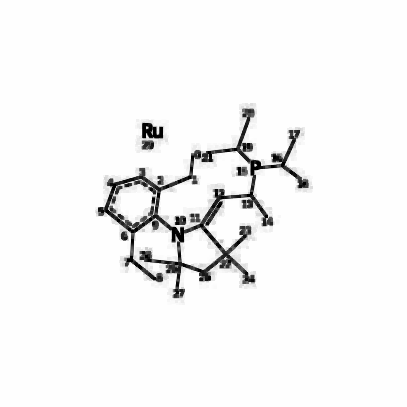 CCc1cccc(CC)c1N1C(=CC(C)P(C(C)C)C(C)C)C(C)(C)CC1(C)C.[Ru]